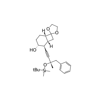 CC(C)(C)[Si](C)(C)O[C@](C)(C#C[C@@H]1[C@H]2CC3(OCCO3)[C@H]2CC[C@H]1O)Cc1ccccc1